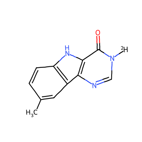 [2H]n1cnc2c([nH]c3ccc(C)cc32)c1=O